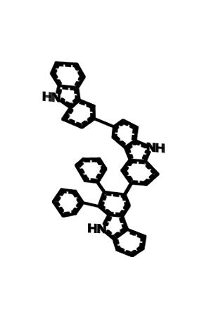 c1ccc(-c2c(-c3ccc4[nH]c5ccc(-c6ccc7[nH]c8ccccc8c7c6)cc5c4c3)cc3c([nH]c4ccccc43)c2-c2ccccc2)cc1